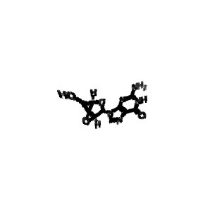 Nc1nc2c(ncn2[C@@H]2O[C@@H]3C(O)[C@]34O[C@H]24)c(=O)[nH]1